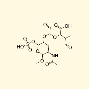 COC1OC(OS(=O)(=O)O)C(OC(C=O)OC(C(=O)O)C(C)C=O)CC1NC(C)=O